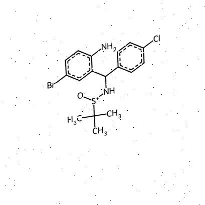 CC(C)(C)[S+]([O-])NC(c1ccc(Cl)cc1)c1cc(Br)ccc1N